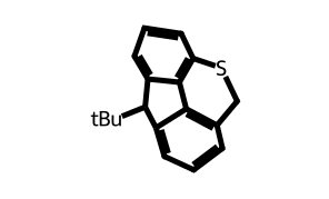 CC(C)(C)C1c2cccc3c2-c2c(cccc21)SC3